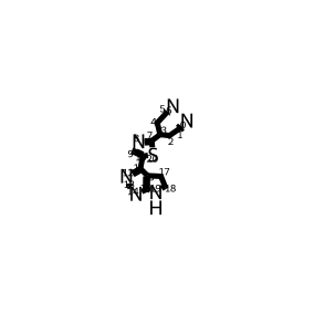 N#CCC(CC#N)c1ncc(-c2ncnc3c2CCN3)s1